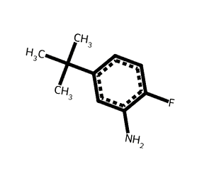 CC(C)(C)c1ccc(F)c(N)c1